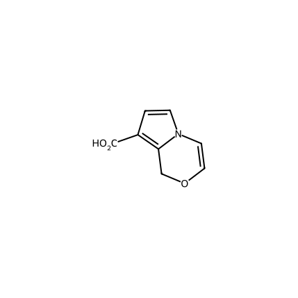 O=C(O)c1ccn2c1COC=C2